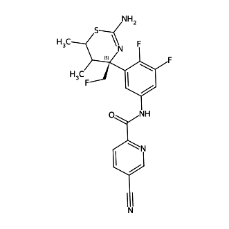 CC1SC(N)=N[C@](CF)(c2cc(NC(=O)c3ccc(C#N)cn3)cc(F)c2F)C1C